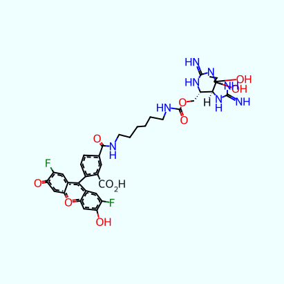 N=C1N[C@H]2[C@H](COC(=O)NCCCCCCNC(=O)c3ccc(-c4c5cc(F)c(=O)cc-5oc5cc(O)c(F)cc45)c(C(=O)O)c3)NC(=N)N3CCC(O)(O)[C@]23N1